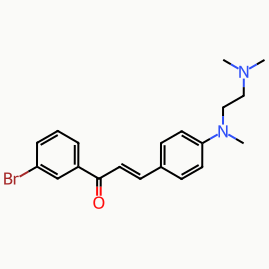 CN(C)CCN(C)c1ccc(/C=C/C(=O)c2cccc(Br)c2)cc1